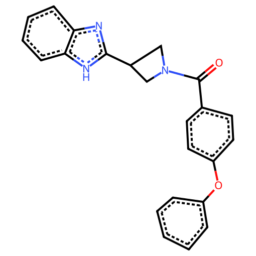 O=C(c1ccc(Oc2ccccc2)cc1)N1CC(c2nc3ccccc3[nH]2)C1